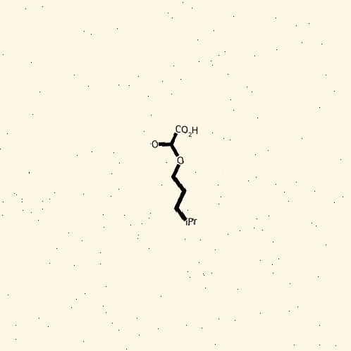 CC(C)CCCOC([O])C(=O)O